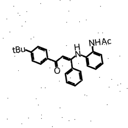 CC(=O)Nc1ccccc1NC(=CC(=O)c1ccc(C(C)(C)C)cc1)c1ccccc1